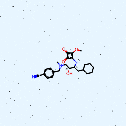 COc1c(N[C@@H](CC2CCCCC2)[C@H](O)CN(C)Cc2ccc(C#N)cc2)c(=O)c1=O